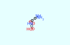 COc1ccc(-c2ccc(C(=N)N)cc2)cc1C(=O)NC1CCC(C(=O)O)CC1